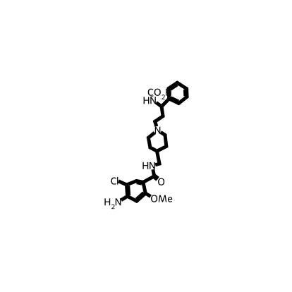 COc1cc(N)c(Cl)cc1C(=O)NCC1CCN(CCC(NC(=O)O)c2ccccc2)CC1